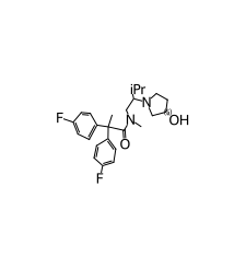 CC(C)C(CN(C)C(=O)C(C)(c1ccc(F)cc1)c1ccc(F)cc1)N1CC[C@H](O)C1